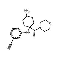 C#Cc1cccc(NC2(C(=O)N3CCOCC3)CCC(N)CC2)c1